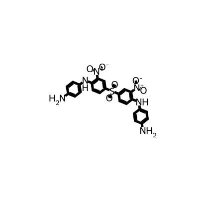 Nc1ccc(Nc2ccc(S(=O)(=O)c3ccc(Nc4ccc(N)cc4)c([N+](=O)[O-])c3)cc2[N+](=O)[O-])cc1